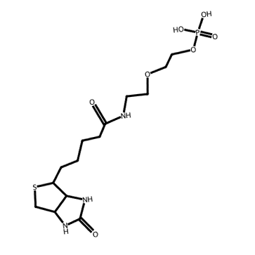 O=C(CCCCC1SCC2NC(=O)NC21)NCCOCCOP(=O)(O)O